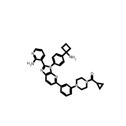 Nc1ncccc1-c1nc2ccc(-c3cccc(N4CCN(C(=O)C5CC5)CC4)c3)nc2n1-c1ccc(C2(N)CCC2)cc1